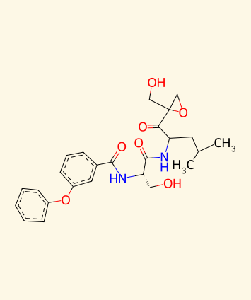 CC(C)CC(NC(=O)[C@H](CO)NC(=O)c1cccc(Oc2ccccc2)c1)C(=O)C1(CO)CO1